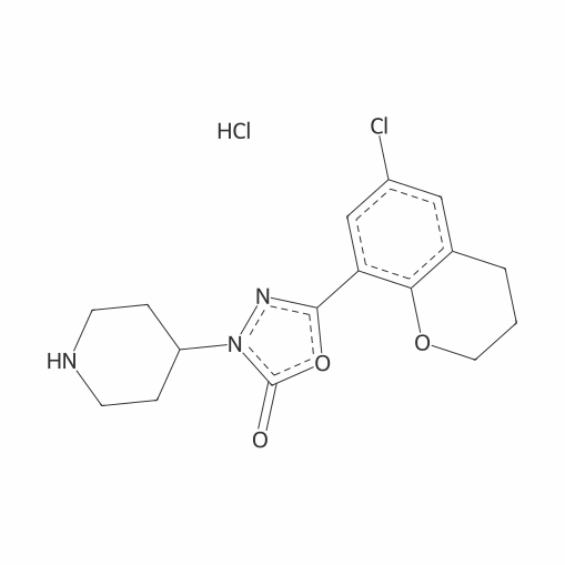 Cl.O=c1oc(-c2cc(Cl)cc3c2OCCC3)nn1C1CCNCC1